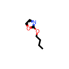 CCCCOc1ncco1